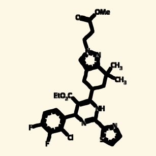 CCOC(=O)C1=C(C2Cc3cn(CCC(=O)OC)nc3C(C)(C)C2)NC(c2nccs2)=NC1c1ccc(F)c(F)c1Cl